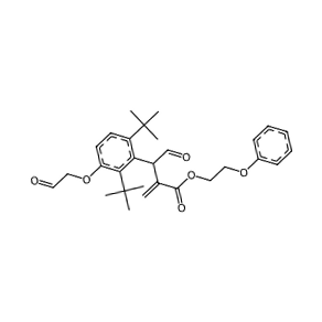 C=C(C(=O)OCCOc1ccccc1)C(C=O)c1c(C(C)(C)C)ccc(OCC=O)c1C(C)(C)C